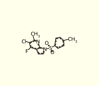 Cc1ccc(S(=O)(=O)n2ccc3c(F)c(Cl)c(C)nc32)cc1